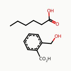 CCCCCC(=O)O.O=C(O)c1ccccc1CO